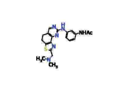 CC(=O)Nc1cccc(Nc2ncc3c(n2)-c2nc(CN(C)C)sc2CC3)c1